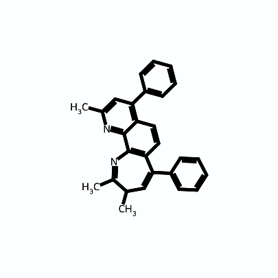 CC1=Nc2c(ccc3c(-c4ccccc4)cc(C)nc23)C(c2ccccc2)=CC1C